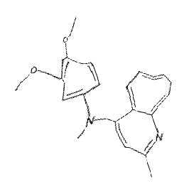 COc1ccc(N(C)c2cc(C)nc3ccccc23)cc1OC